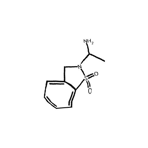 CC(N)N1Cc2ccccc2S1(=O)=O